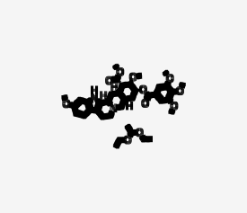 CCOC(C)OCC.COC(=O)[C@H]1[C@H]2C[C@@H]3c4[nH]c5cc(OC)ccc5c4CCN3C[C@H]2C[C@@H](OC(=O)c2cc(OC)c(OC)c(OC)c2)[C@@H]1OC